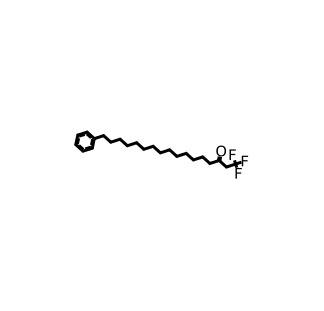 O=C(CCCCCCCCCCCCCCc1ccccc1)CC(F)(F)F